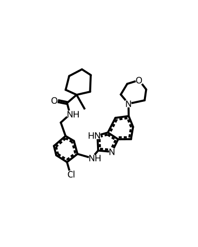 CC1(C(=O)NCc2ccc(Cl)c(Nc3nc4ccc(N5CCOCC5)cc4[nH]3)c2)CCCCC1